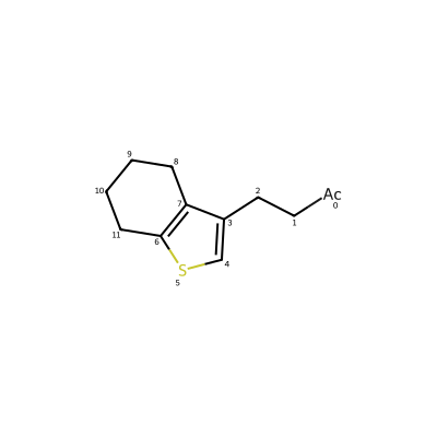 CC(=O)CCc1csc2c1CCCC2